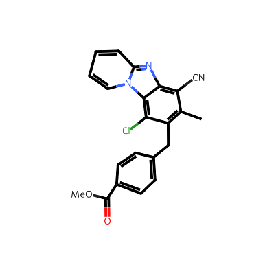 COC(=O)c1ccc(Cc2c(C)c(C#N)c3nc4ccccn4c3c2Cl)cc1